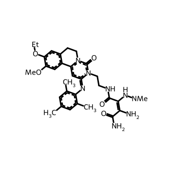 CCOc1cc2c(cc1OC)-c1c/c(=N\c3c(C)cc(C)cc3C)n(CCNC(=O)/C(NNC)=C(/N)C(N)=O)c(=O)n1CC2